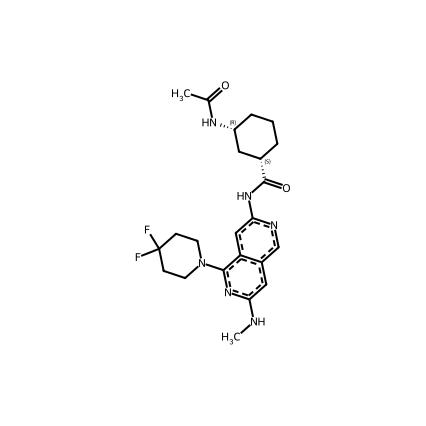 CNc1cc2cnc(NC(=O)[C@H]3CCC[C@@H](NC(C)=O)C3)cc2c(N2CCC(F)(F)CC2)n1